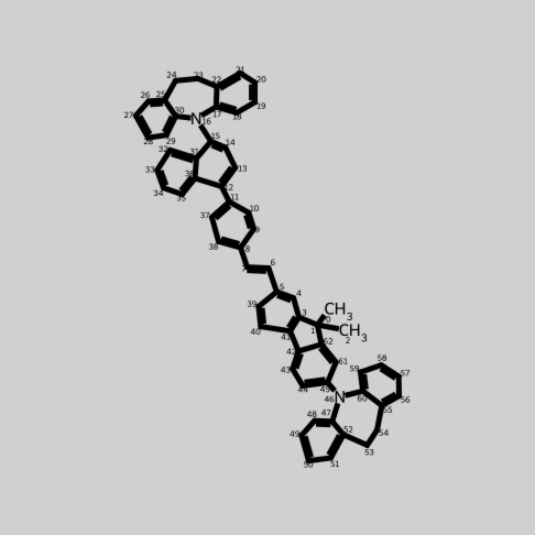 CC1(C)c2cc(/C=C/c3ccc(-c4ccc(N5c6ccccc6CCc6ccccc65)c5ccccc45)cc3)ccc2-c2ccc(N3c4ccccc4CCc4ccccc43)cc21